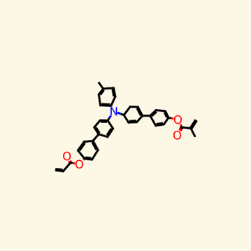 C=CC(=O)Oc1ccc(-c2ccc(N(c3ccc(C)cc3)C3C=CC(c4ccc(OC(=O)C(=C)C)cc4)=CC3)cc2)cc1